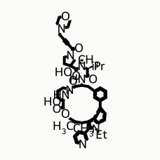 CCn1c(-c2cccnc2)c2c3cc(ccc31)-c1cccc(c1)C[C@H](NC(=O)[C@H](C(C)C)N(C)C(=O)[C@@]1(O)CCN(C(=O)C#CCN3CCOCC3)C1)C(=O)N1CCC[C@@](O)(N1)C(=O)OCC(C)(C)C2